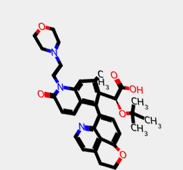 Cc1cc2c(ccc(=O)n2CCN2CCOCC2)c(-c2ccc3c4c(ccnc24)CCO3)c1[C@H](OC(C)(C)C)C(=O)O